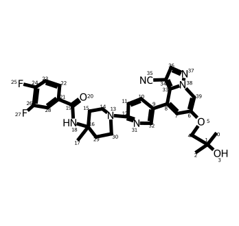 CC(C)(O)COc1cc(-c2ccc(N3CCC(C)(NC(=O)c4ccc(F)c(F)c4)CC3)nc2)c2c(C#N)cnn2c1